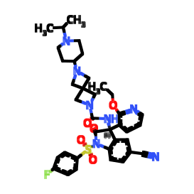 CCOc1ncccc1[C@@]1(NC(=O)N2CC3(C2)CN(C2CCN(C(C)C)CC2)C3)C(=O)N(S(=O)(=O)c2ccc(F)cc2)c2ccc(C#N)cc21